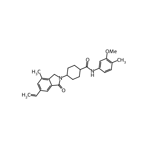 C=Cc1cc(C)c2c(c1)C(=O)N(C1CCC(C(=O)Nc3ccc(C)c(OC)c3)CC1)C2